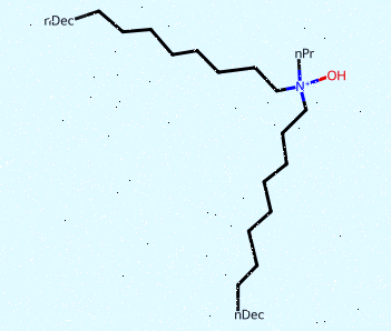 CCCCCCCCCCCCCCCCCC[N+](O)(CCC)CCCCCCCCCCCCCCCCCC